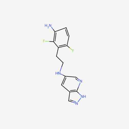 Nc1ccc(F)c(CCNc2cnc3[nH]ncc3c2)c1F